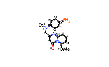 CCN(Cc1cc(=O)n2c(OC)cccc2n1)c1ccc(P)cc1